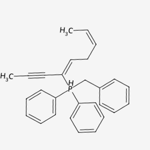 CC#C/C(=C/C/C=C\C)[PH](Cc1ccccc1)(c1ccccc1)c1ccccc1